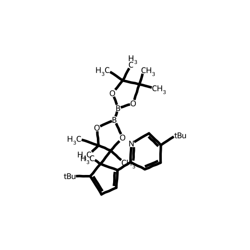 CC(C)(C)C1=CC=C(c2ccc(C(C)(C)C)cn2)C1(C)C1(C)OB(B2OC(C)(C)C(C)(C)O2)OC1(C)C